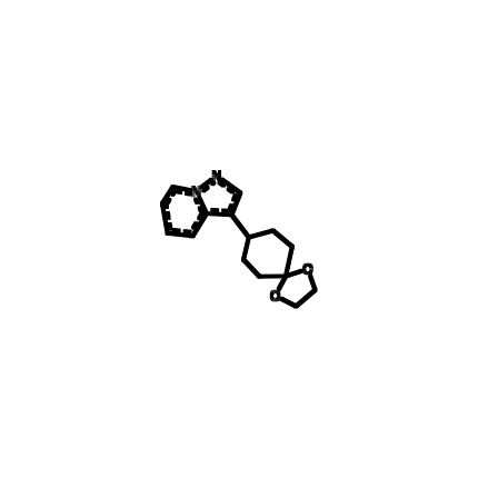 c1ccn2ncc(C3CCC4(CC3)OCCO4)c2c1